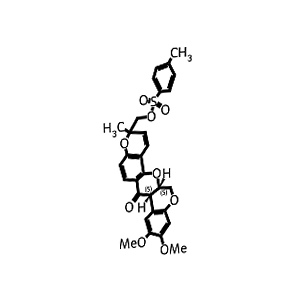 COc1cc2c(cc1OC)[C@@H]1C(=O)c3ccc4c(c3O[C@@H]1CO2)C=CC(C)(COS(=O)(=O)c1ccc(C)cc1)O4